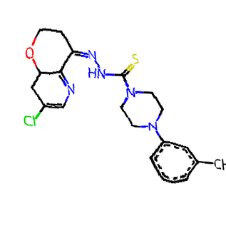 Cc1cccc(N2CCN(C(=S)N/N=C3/CCOC4CC(Cl)=CN=C34)CC2)c1